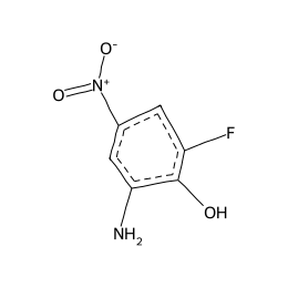 Nc1cc([N+](=O)[O-])cc(F)c1O